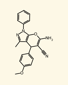 COc1ccc(C2C(C#N)=C(N)Oc3c2c(C)nn3-c2ccccc2)cc1